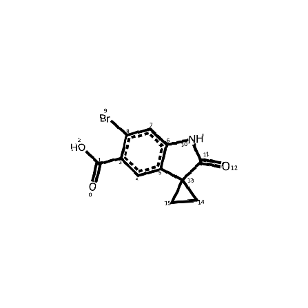 O=C(O)c1cc2c(cc1Br)NC(=O)C21CC1